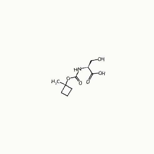 CC1(OC(=O)N[C@@H](CO)C(=O)O)CCC1